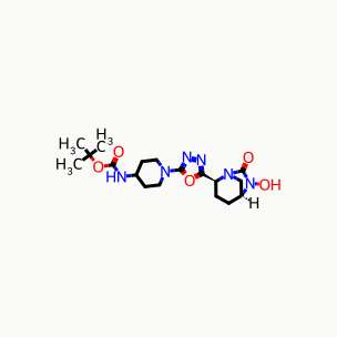 CC(C)(C)OC(=O)NC1CCN(c2nnc([C@@H]3CC[C@H]4CN3C(=O)N4O)o2)CC1